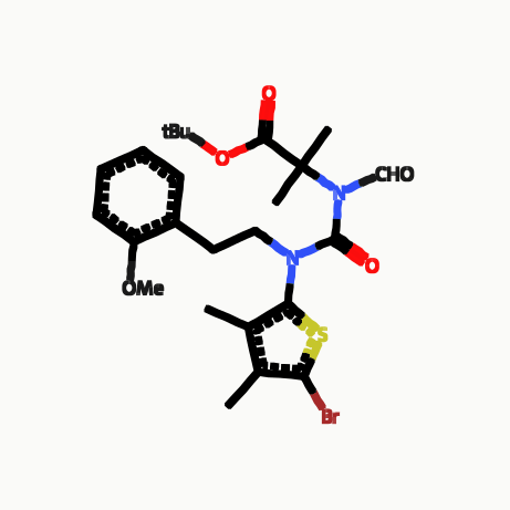 COc1ccccc1CCN(C(=O)N(C=O)C(C)(C)C(=O)OC(C)(C)C)c1sc(Br)c(C)c1C